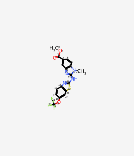 COC(=O)c1ccc2c(c1)nc(Nc1nc3ccc(OC(F)(F)F)cc3s1)n2C